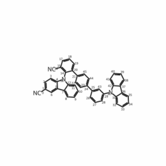 N#Cc1ccc2c(c1)c1ccccc1n2-c1c(C#N)cccc1-c1ccc(-c2cccc(-n3c4ccccc4c4ccccc43)c2)cc1